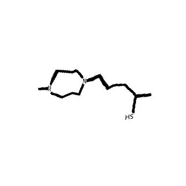 CC(S)CCCN1CCN(C)CC1